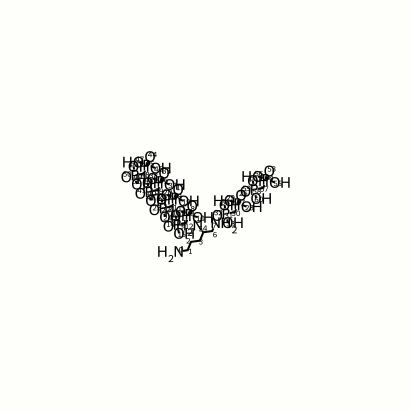 NCCCC(N)CN.O=P(O)(O)CP(=O)(O)O.O=P(O)(O)CP(=O)(O)O.O=P(O)(O)CP(=O)(O)O.O=P(O)(O)CP(=O)(O)O.O=P(O)(O)CP(=O)(O)O.O=P(O)(O)CP(=O)(O)O